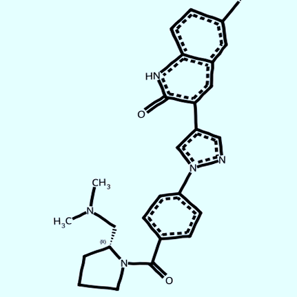 CN(C)C[C@H]1CCCN1C(=O)c1ccc(-n2cc(-c3cc4cc(F)ccc4[nH]c3=O)cn2)cc1